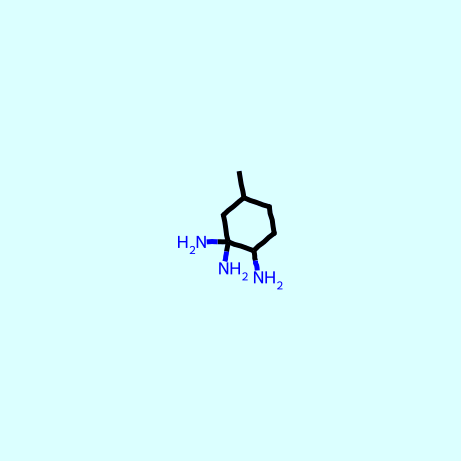 CC1CCC(N)C(N)(N)C1